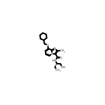 CC[C@H](CO)NC(=O)c1c(C)nc2c(OCC3CCCCC3)cccn12